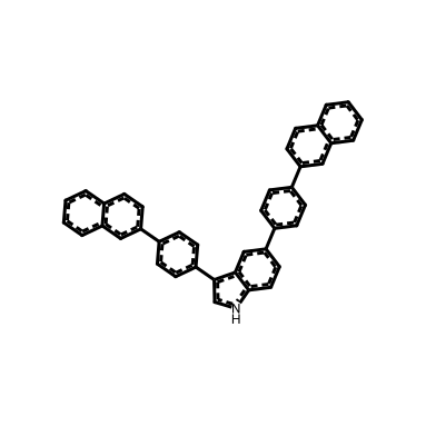 c1ccc2cc(-c3ccc(-c4ccc5[nH]cc(-c6ccc(-c7ccc8ccccc8c7)cc6)c5c4)cc3)ccc2c1